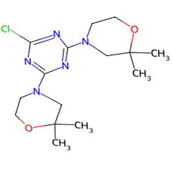 CC1(C)CN(c2nc(Cl)nc(N3CCOC(C)(C)C3)n2)CCO1